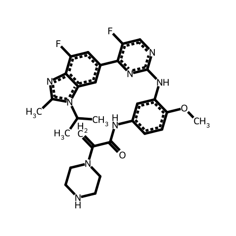 C=C(C(=O)Nc1ccc(OC)c(Nc2ncc(F)c(-c3cc(F)c4nc(C)n(C(C)C)c4c3)n2)c1)N1CCNCC1